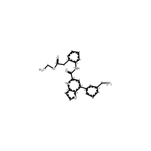 CCOC(=O)Cc1ccccc1NC(=O)c1cc(-c2cccc(CN)c2)c2occc2n1